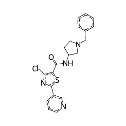 O=C(NC1CCN(Cc2ccccc2)C1)c1sc(-c2cccnc2)nc1Cl